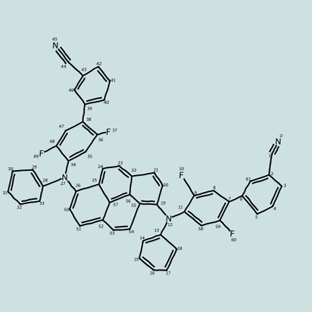 N#Cc1cccc(-c2cc(F)c(N(c3ccccc3)c3ccc4ccc5c(N(c6ccccc6)c6cc(F)c(-c7cccc(C#N)c7)cc6F)ccc6ccc3c4c65)cc2F)c1